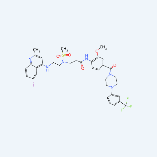 COc1cc(C(=O)N2CCN(c3cccc(C(F)(F)F)c3)CC2)ccc1NC(=O)CCN(CCNc1cc(C)nc2ccc(I)cc12)S(C)(=O)=O